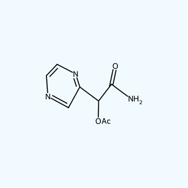 CC(=O)OC(C(N)=O)c1cnccn1